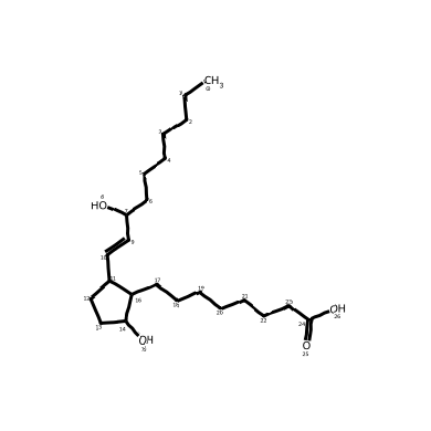 CCCCCCCC(O)C=CC1CCC(O)C1CCCCCCCC(=O)O